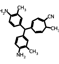 Cc1cc(C(C2=CC=C(C#N)C(C)C=C2)c2ccc(N)c(C)c2)ccc1N